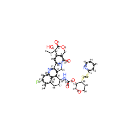 CC[C@@]1(O)C(=O)OCc2c1cc1n(c2=O)Cc2c-1nc1cc(F)c(C)c3c1c2[C@@H](NC(=O)O[C@H]1COCC[C@@H]1SSc1ccccn1)CC3